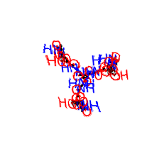 Cc1cn([C@H]2CC(OC(=O)CCC(=O)NCCNC(=O)c3cc(C(=O)NCCNC(=O)CCC(=O)OC4C[C@H](n5cc(C)c(=O)[nH]c5=O)O[C@@H]4CO)cc(C(=O)NCCNC(=O)CCC(=O)OC4C[C@H](n5cc(C)c(=O)[nH]c5=O)O[C@@H]4CO)c3)[C@@H](CO)O2)c(=O)[nH]c1=O